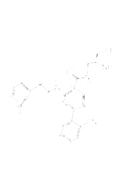 N#Cc1ccccc1-c1ccc(C(=O)NC[C@H](N)C(=O)O)c(NCCc2cccc(F)c2)n1